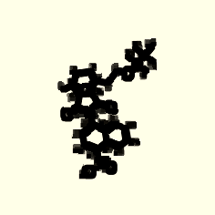 CC12C=CC(CCO[Si](C)(C)C(C)(C)C)(O1)C1C(=O)N(c3ccc([N+](=O)[O-])c4ccccc34)C(=O)C12